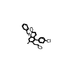 Cc1cc2c(ccc(=O)n2Cc2ccccc2)c(-c2ccc(Cl)cc2)c1CC=O